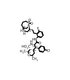 C[C@@H]1C[C@H]([C@H](c2ccc(Cl)cc2)[C@H](NC(=O)O)C(=O)Nc2cccc(F)c2CC[C@H]2CN[C@@H]3CCCS(=O)(=O)N2C3)C[C@H](C)O1